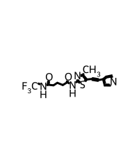 Cc1nc(NC(=O)CCCC(=O)NCC(F)(F)F)sc1C#Cc1ccncc1